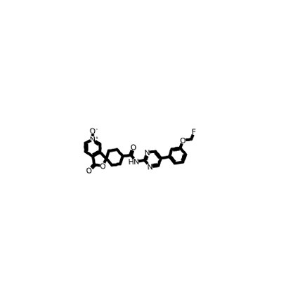 O=C1OC2(CCC(C(=O)Nc3ncc(-c4cccc(OCF)c4)cn3)CC2)c2c[n+]([O-])ccc21